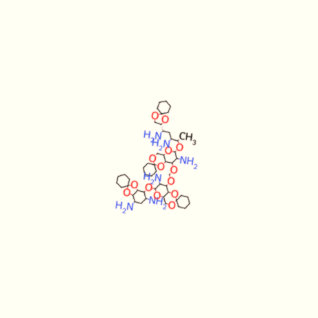 C[C@H](OC1OC2COC3(CCCCC3)OC2C(OCOC2C(N)C(OC3C(N)CC(N)C4OC5(CCCCC5)OC34)OC3COC4(CCCCC4)OC32)C1N)C(N)CC(N)[C@@H]1COC2(CCCCC2)O1